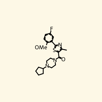 COc1ccc(F)cc1-c1nc(C)c(C(=O)N2CCN(C3CCCC3)CC2)s1